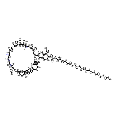 CCOCCOCCOCCOCCOCCOCCOCCNC(=O)O[C@@H]1CC[C@@H](C[C@@H](N)[C@@H]2CC(=O)[C@H](C)/C=C(\C)[C@@H](O)[C@@H](O)C(=O)[C@H](C)C[C@H](C)/C=C/C=C/C=C(\C)[C@@H](OC)C[C@@H]3CC[C@@H](C)[C@@](O)(O3)C(=O)C(=O)N3CCCC[C@H]3C(=O)O2)C[C@H]1OC